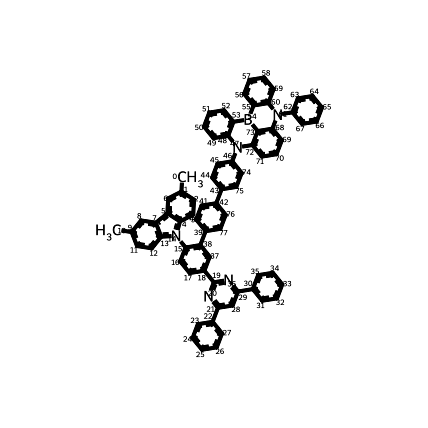 Cc1ccc2c(c1)c1cc(C)ccc1n2-c1ccc(-c2nc(-c3ccccc3)cc(-c3ccccc3)n2)cc1-c1ccc(-c2ccc(N3c4ccccc4B4c5ccccc5N(c5ccccc5)c5cccc3c54)cc2)cc1